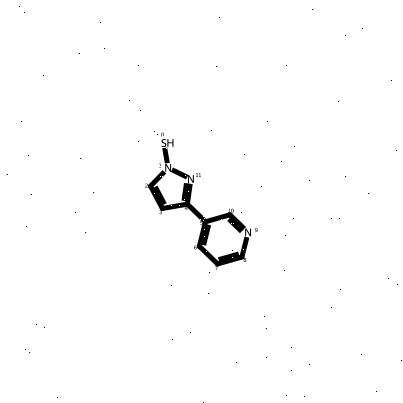 Sn1ccc(-c2cccnc2)n1